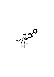 CCC[C](O)NC(=O)c1ccc(-c2ccccc2)cc1